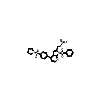 O=[SH](=O)OCc1cc2c(-c3ccc(S(=O)(=O)N4CCCC4)cc3)ccnc2n1S(=O)(=O)c1ccccc1